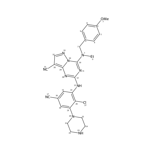 CCN(Cc1ccc(OC)cc1)c1nc(Nc2cc(C#N)cc(N3CCNCC3)c2Cl)nc2c(C#N)cnn12